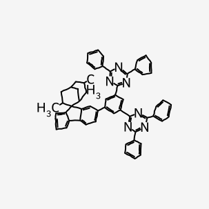 CC1CC2CC(C)C3(c4ccccc4-c4ccc(-c5cc(-c6nc(-c7ccccc7)nc(-c7ccccc7)n6)cc(-c6nc(-c7ccccc7)nc(-c7ccccc7)n6)c5)cc43)C(C1)C2